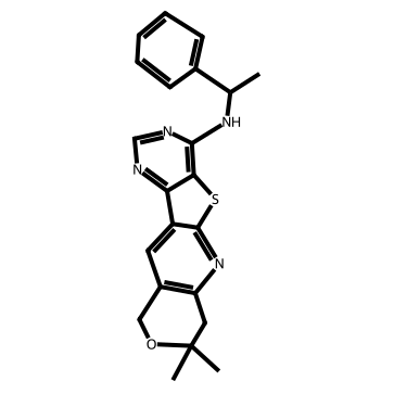 CC(Nc1ncnc2c1sc1nc3c(cc12)COC(C)(C)C3)c1ccccc1